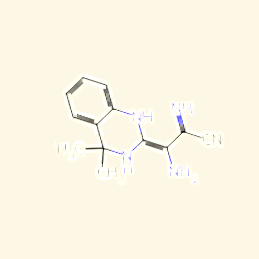 CC1(C)N/C(=C(\N)C(=N)C#N)Nc2ccccc21